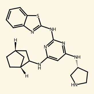 c1ccc2sc(Nc3nc(NC4C[C@H]5CC[C@@H]4C5)cc(N[C@@H]4CCNC4)n3)nc2c1